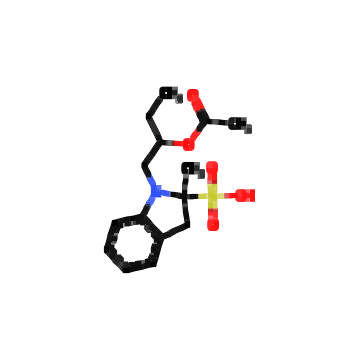 CCC(CN1c2ccccc2CC1(C)S(=O)(=O)O)OC(C)=O